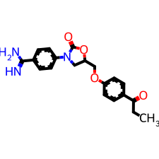 CCC(=O)c1ccc(OCC2CN(c3ccc(C(=N)N)cc3)C(=O)O2)cc1